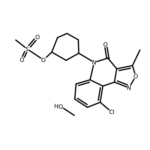 CO.Cc1onc2c1c(=O)n(C1CCCC(OS(C)(=O)=O)C1)c1cccc(Cl)c21